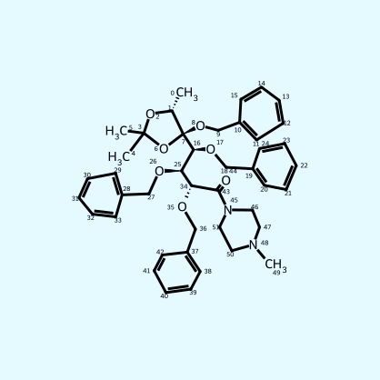 C[C@H]1OC(C)(C)O[C@@]1(OCc1ccccc1)[C@@H](OCc1ccccc1)[C@H](OCc1ccccc1)[C@@H](OCc1ccccc1)C(=O)N1CCN(C)CC1